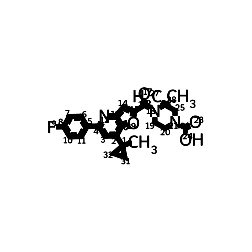 CC1(c2cc(-c3ccc(F)cc3)nc3cc(C(=O)N4CCN(C(=O)O)CC4(C)C)oc23)CC1